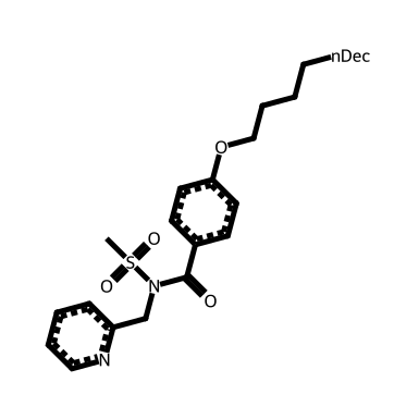 CCCCCCCCCCCCCCOc1ccc(C(=O)N(Cc2ccccn2)S(C)(=O)=O)cc1